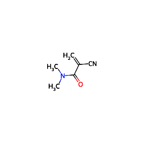 C=C(C#N)C(=O)N(C)C